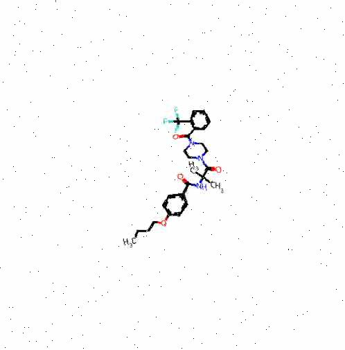 CCCCOc1ccc(C(=O)NC(C)(C)C(=O)N2CCN(C(=O)c3ccccc3C(F)(F)F)CC2)cc1